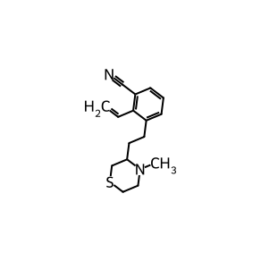 C=Cc1c(C#N)cccc1CCC1CSCCN1C